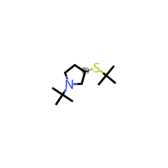 CC(C)(C)S[C@@H]1CCN(C(C)(C)C)C1